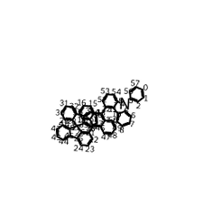 c1ccc(-n2c3ccccc3c3c(-c4c5ccccc5c(-c5cccc6c5C5(c7ccccc7-c7ccccc75)c5ccccc5-6)c5ccccc45)cccc32)cc1